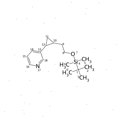 CC(C)(C)[Si](C)(C)OCCC1CC1c1cccnc1